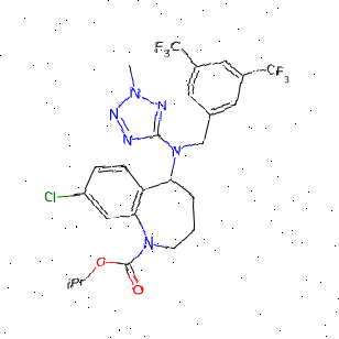 CC(C)OC(=O)N1CCCC(N(Cc2cc(C(F)(F)F)cc(C(F)(F)F)c2)c2nnn(C)n2)c2ccc(Cl)cc21